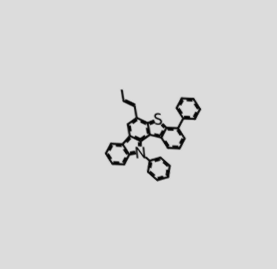 C/C=C/c1cc2c3ccccc3n(-c3ccccc3)c2c2c1sc1c(-c3ccccc3)cccc12